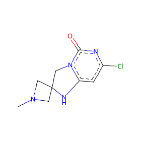 CN1CC2(C1)Cn1c(cc(Cl)nc1=O)N2